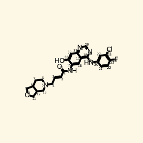 O=C(/C=C/CN1CCC2COCC2C1)Nc1cc2c(Nc3ccc(F)c(Cl)c3)ncnc2cc1O